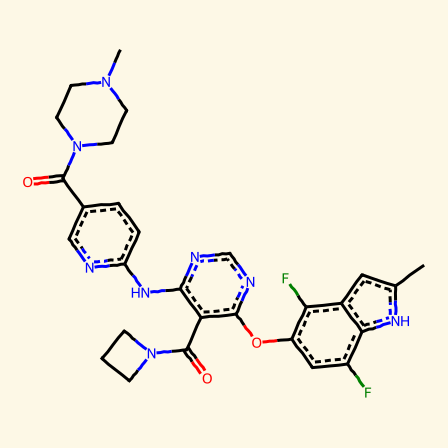 Cc1cc2c(F)c(Oc3ncnc(Nc4ccc(C(=O)N5CCN(C)CC5)cn4)c3C(=O)N3CCC3)cc(F)c2[nH]1